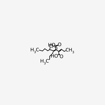 CCC=C(C(=O)O)C(C(=O)O)=C(CCCC)C(C)CCCC